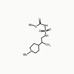 CC(CNS(=O)(=O)NC(=O)OC(C)(C)C)C1CCN(C(C)(C)C)CC1